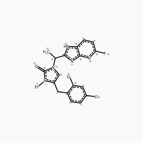 CCn1c(Cc2ccc(Cl)cc2Cl)cn(C(C)c2nc3nc(F)ccc3[nH]2)c1=O